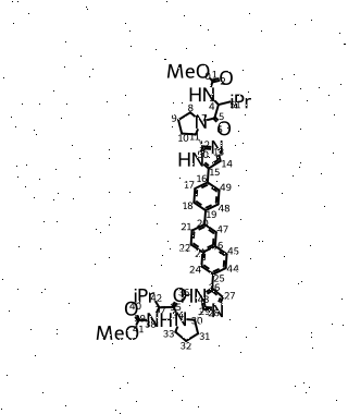 COC(=O)NC(C(=O)N1CCC[C@H]1c1ncc(-c2ccc(-c3ccc4cc(-c5cnc([C@@H]6CCCN6C(=O)C(NC(=O)OC)C(C)C)[nH]5)ccc4c3)cc2)[nH]1)C(C)C